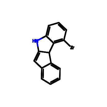 [Zr][c]1cccc2c1C1C(=Cc3ccccc31)N2